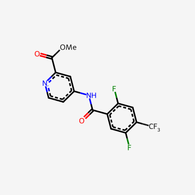 COC(=O)c1cc(NC(=O)c2cc(F)c(C(F)(F)F)cc2F)ccn1